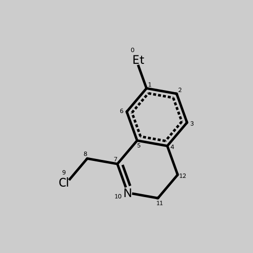 CCc1ccc2c(c1)C(CCl)=NCC2